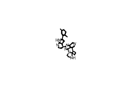 Cc1ccc(C)c(-c2cc3c(-c4nc(N5CCNCC5)c5c(C6CCC6)cncc5n4)ccnc3[nH]2)c1